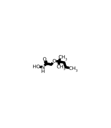 CCCC(C)(C)OCC(=O)NO